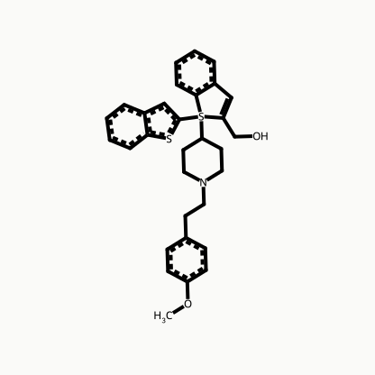 COc1ccc(CCN2CCC(S3(c4cc5ccccc5s4)C(CO)=Cc4ccccc43)CC2)cc1